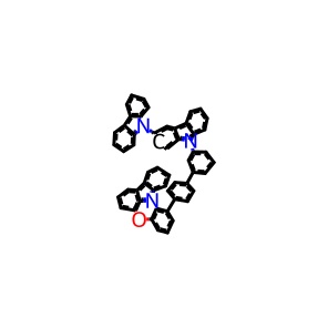 c1cc(-c2ccc(-c3cccc4c3-n3c5ccccc5c5cccc(c53)O4)cc2)cc(-n2c3ccccc3c3cc(-n4c5ccccc5c5ccccc54)ccc32)c1